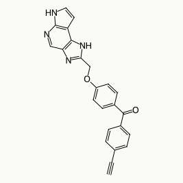 C#Cc1ccc(C(=O)c2ccc(OCc3nc4cnc5[nH]ccc5c4[nH]3)cc2)cc1